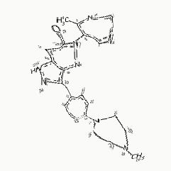 Cc1ncncc1-n1nc2c(-c3ccc(N4CCN(C)CC4)cc3)n[nH]c2cc1=O